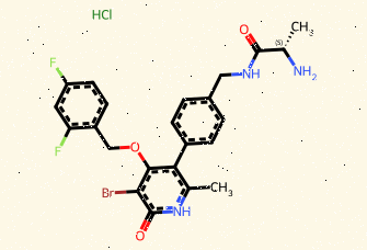 Cc1[nH]c(=O)c(Br)c(OCc2ccc(F)cc2F)c1-c1ccc(CNC(=O)[C@H](C)N)cc1.Cl